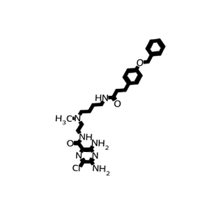 CN(CCCCNC(=O)CCc1ccc(OCc2ccccc2)cc1)CCNC(=O)c1nc(Cl)c(N)nc1N